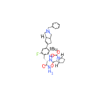 CC(C)(C)OC(=O)N1[C@@H]2CC[C@@H](C2)[C@H]1C(=O)N[C@@H](Cc1ccc(C2=C[C@H]3CN(Cc4ccccc4)CC3C2)cc1F)C(N)=O